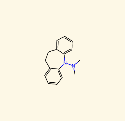 CN(C)N1c2ccccc2CCc2ccccc21